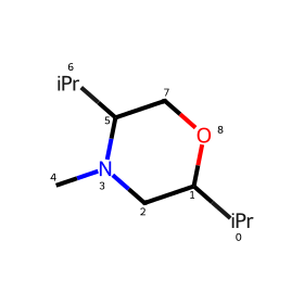 CC(C)C1CN(C)C(C(C)C)CO1